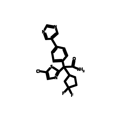 NC(=O)C(c1ccc(-c2cncnc2)cc1)(c1ncc(Cl)s1)C1CCC(F)(F)C1